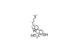 CC(C)=CCC[C@@H](C)[C@H]1CC[C@H]2C3=C(CC[C@]12C)[C@@]1(C)CCC(O)C(C)(C(=O)O)C1CC3